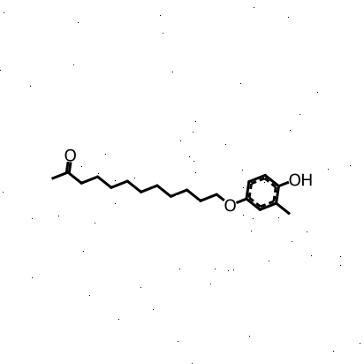 CC(=O)CCCCCCCCCCOc1ccc(O)c(C)c1